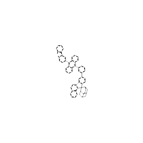 c1cc(-c2ccc3c(c2)-c2ccc4ccccc4c2C32C3CC4CC(C3)CC2C4)cc(-c2c3ccccc3c(-c3ccc4oc5ccccc5c4c3)c3ccccc23)c1